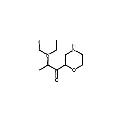 CCN(CC)C(C)C(=O)C1CNCCO1